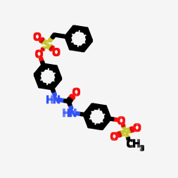 CS(=O)(=O)Oc1ccc(NC(=O)Nc2ccc(OS(=O)(=O)Cc3ccccc3)cc2)cc1